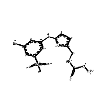 CCCCOC(=O)NCc1ccc(Sc2cc(Br)cc(S(C)(=O)=O)c2)s1